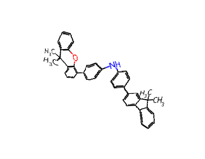 CC1(C)c2ccccc2-c2ccc(-c3ccc(Nc4ccc(-c5cccc6c5Oc5ccccc5C6(C)C)cc4)cc3)cc21